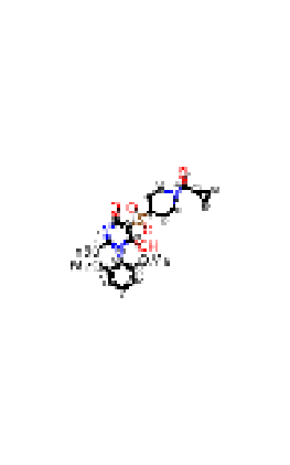 CCCCc1nc(=O)c(S(=O)(=O)C2CCN(C(=O)C3CC3)CC2)c(O)n1-c1c(OC)cccc1OC